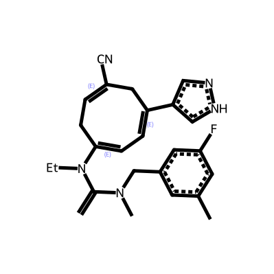 C=C(N(C)Cc1cc(C)cc(F)c1)N(CC)/C1=C/C=C(/c2cn[nH]c2)C/C(C#N)=C\C1